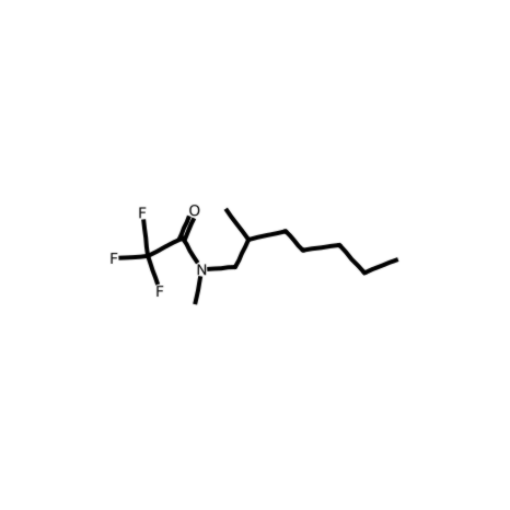 CCCCCC(C)CN(C)C(=O)C(F)(F)F